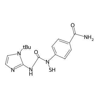 CC(C)(C)n1ccnc1NC(=O)N(S)c1ccc(C(N)=O)cc1